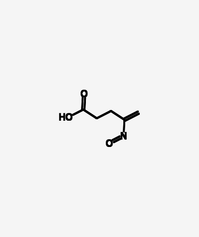 C=C(CCC(=O)O)N=O